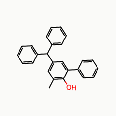 Cc1cc(C(c2ccccc2)c2ccccc2)cc(-c2ccccc2)c1O